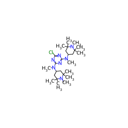 CN(c1nc(Cl)nc(N(C)C2CC(C)(C)N(C)C(C)(C)C2)n1)C1CC(C)(C)N(C)C(C)(C)C1